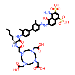 CCCCC[C@@H](NC(=O)CN1CCN(CC(=O)O)CCN(CC(=O)O)CCN(CC(=O)O)CC1)C(=O)Nc1ccc(-c2ccc(N=Nc3ccc4c(S(=O)(=O)O)cc(S(=O)(=O)O)c(N)c4c3O)c(C)c2)cc1C